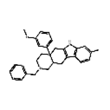 COc1cccc(C23CCN(Cc4ccccc4)CC2Cc2c([nH]c4cc(F)ccc24)C3)c1